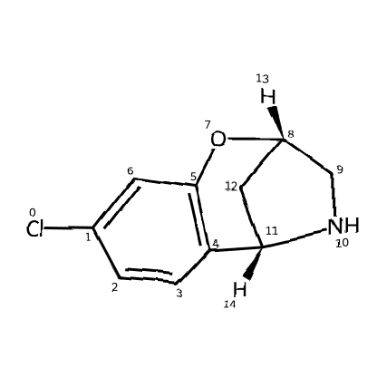 Clc1ccc2c(c1)O[C@@H]1CN[C@H]2C1